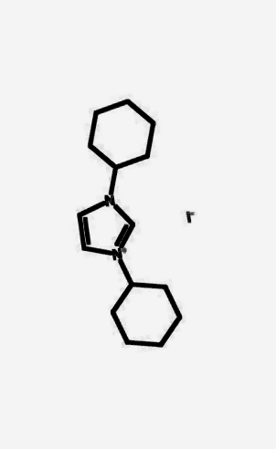 [I-].c1c[n+](C2CCCCC2)cn1C1CCCCC1